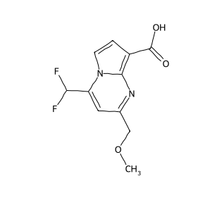 COCc1cc(C(F)F)n2ccc(C(=O)O)c2n1